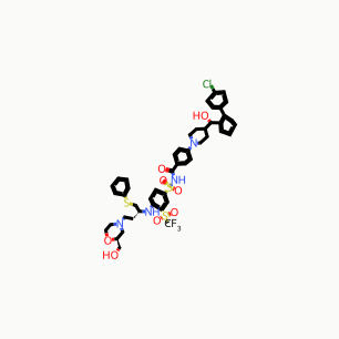 O=C(NS(=O)(=O)c1ccc(N[C@H](CCN2CCO[C@H](CO)C2)CSc2ccccc2)c(S(=O)(=O)C(F)(F)F)c1)c1ccc(N2CCC(C(O)c3ccccc3-c3ccc(Cl)cc3)CC2)cc1